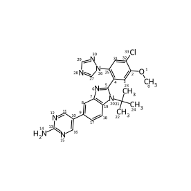 COc1cc(-c2nc3cc(-c4cnc(N)nc4)ccc3n2C(C)(C)C)c(-n2cncn2)cc1Cl